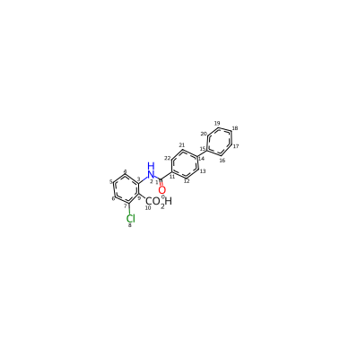 O=C(Nc1cccc(Cl)c1C(=O)O)c1ccc(-c2ccccc2)cc1